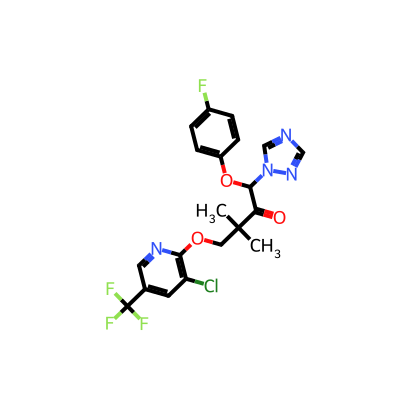 CC(C)(COc1ncc(C(F)(F)F)cc1Cl)C(=O)C(Oc1ccc(F)cc1)n1cncn1